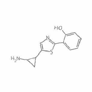 NC1CC1c1cnc(-c2ccccc2O)s1